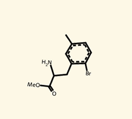 COC(=O)C(N)Cc1cc(C)ccc1Br